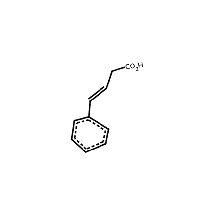 O=C(O)CC=Cc1ccccc1